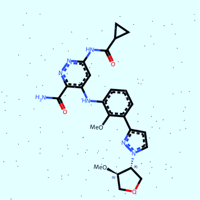 COc1c(Nc2cc(NC(=O)C3CC3)nnc2C(N)=O)cccc1-c1ccn([C@@H]2COC[C@H]2OC)n1